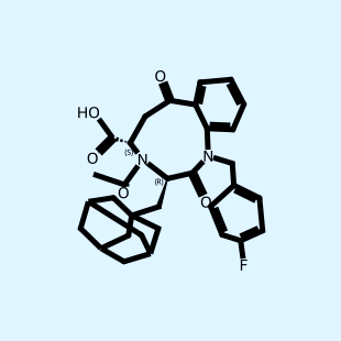 CC(=O)N1[C@H](CC23CC4CC(CC(C4)C2)C3)C(=O)N(Cc2ccc(F)cc2)c2ccccc2C(=O)C[C@H]1C(=O)O